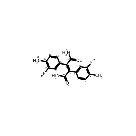 Cc1ccc(C(C(N)=O)=C(C(N)=O)c2ccc(C)c(F)c2)cc1F